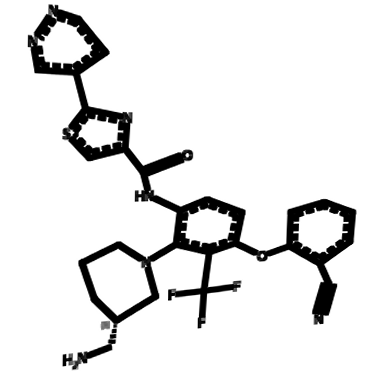 N#Cc1ccccc1Oc1ccc(NC(=O)c2csc(-c3ccnnc3)n2)c(N2CCC[C@@H](CN)C2)c1C(F)(F)F